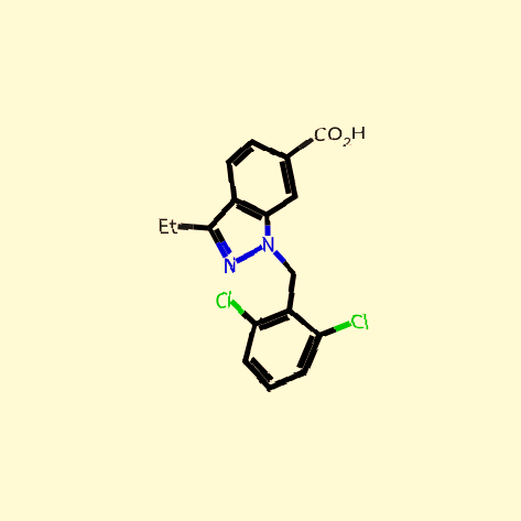 CCc1nn(Cc2c(Cl)cccc2Cl)c2cc(C(=O)O)ccc12